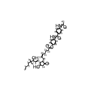 CCCCC(C)(C)C(O)/C=C/[C@H]1C(O)CC(=O)[C@@H]1C/C=C\CCCC(=O)Oc1ccc(NC(=O)c2ccc(NC(C)=O)cc2)cc1